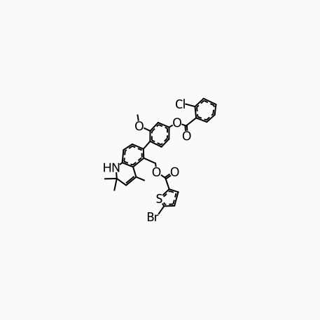 COc1cc(OC(=O)c2ccccc2Cl)ccc1-c1ccc2c(c1COC(=O)c1ccc(Br)s1)C(C)=CC(C)(C)N2